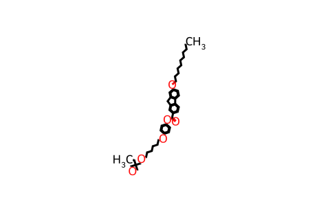 CCCCCCCCCCCOc1ccc2c(c1)Cc1cc(C(=O)Oc3ccc(OCCCCCCOCC4(CC)COC4)cc3)ccc1-2